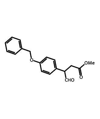 COC(=O)CC(C=O)c1ccc(OCc2ccccc2)cc1